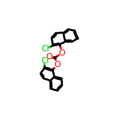 O=C(Oc1c(Cl)ccc2ccccc12)Oc1c(Cl)ccc2ccccc12